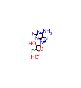 Nc1nc(I)nc2c1ncn2[C@@H]1O[C@H](CO)[C@@H](F)[C@H]1O